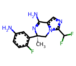 C[C@@]1(c2cc(N)ccc2F)Cn2c(cnc2C(F)F)C(N)=N1